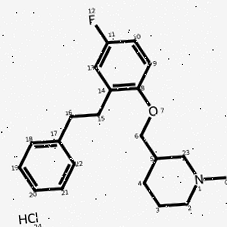 CN1CCCC(COc2ccc(F)cc2CCc2ccccc2)C1.Cl